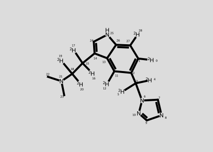 [2H]c1c(C([2H])([2H])n2cncn2)c([2H])c2c(C([2H])([2H])C([2H])([2H])N(C)C)c[nH]c2c1[2H]